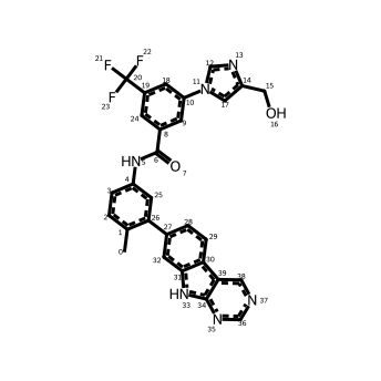 Cc1ccc(NC(=O)c2cc(-n3cnc(CO)c3)cc(C(F)(F)F)c2)cc1-c1ccc2c(c1)[nH]c1ncncc12